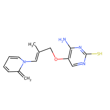 C=C1C=CC=CN1/C=C(\C)COc1cnc(S)nc1N